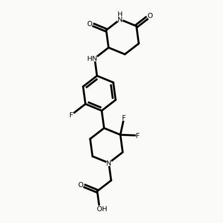 O=C(O)CN1CCC(c2ccc(NC3CCC(=O)NC3=O)cc2F)C(F)(F)C1